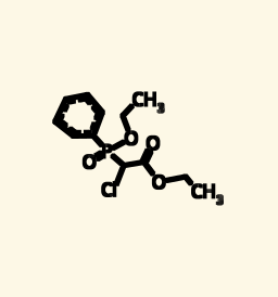 CCOC(=O)C(Cl)P(=O)(OCC)c1ccccc1